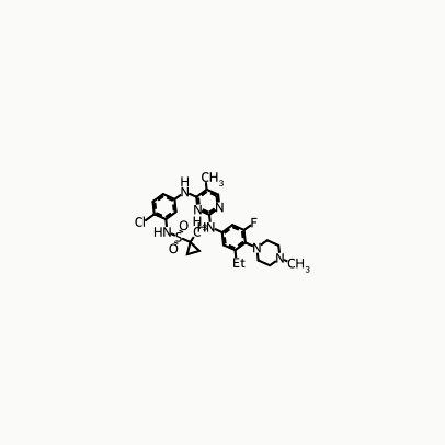 CCc1cc(Nc2ncc(C)c(Nc3ccc(Cl)c(NS(=O)(=O)C4(C)CC4)c3)n2)cc(F)c1N1CCN(C)CC1